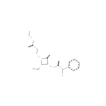 NC(C(=O)N[C@@H]1C(=O)N(SCC(=O)OCC(=O)O)[C@@H]1CI)c1ccccc1